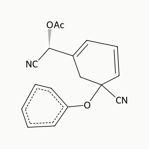 CC(=O)O[C@@H](C#N)C1=CC=CC(C#N)(Oc2ccccc2)C1